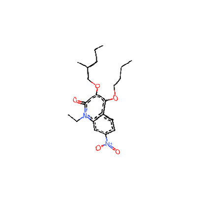 CCCCOc1c(OCC(C)CCC)c(=O)n(CC)c2cc([N+](=O)[O-])ccc12